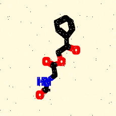 O=[C]NCC(=O)OCC(=O)c1ccccc1